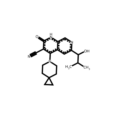 CC(C)C(O)c1cc2c(N3CCC4(CC3)CC4)c(C#N)c(=O)[nH]c2cn1